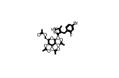 CC(=O)OC[C@H]1O[C@@H](Oc2n[nH]c(C)c2Cc2ccc(Br)cc2F)[C@H](OC(C)=O)[C@@H](OC(C)=O)[C@@H]1OC(C)=O